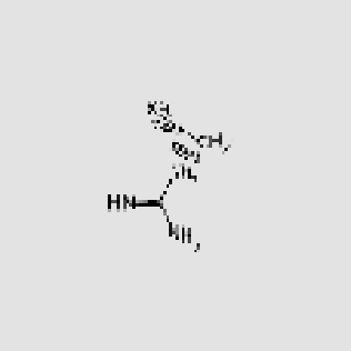 N=C(N)N.[CH2]CCCC.[C]#N.[KH]